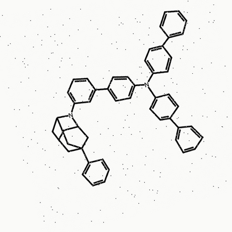 c1ccc(-c2ccc(N(c3ccc(-c4ccccc4)cc3)c3ccc(-c4cccc(N5C6CC7CC5CC(c5ccccc5)(C7)C6)c4)cc3)cc2)cc1